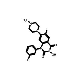 CN1CCN(c2cc3c(cc2F)c(=O)n(O)c(=O)n3-c2cccc(F)c2)CC1